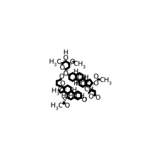 CC(=O)S[C@@H]1CC2=CC(=O)CC[C@]2(C)[C@H]2CC[C@@]3(C)[C@@H](CC[C@@]34CCC(=O)O4)[C@H]12.CO[C@H]1C[C@H](O[C@H]2CC[C@@]3(C)[C@H](CC[C@@H]4[C@@H]3CC[C@]3(C)[C@@H](C5=CC(=O)OC5)[C@@H](OC(C)=O)C[C@]43O)C2)O[C@@H](C)[C@@H]1O